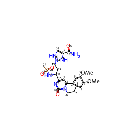 COc1cc2c(cc1OC)-c1cc(C(CCN3NC=C(C(N)=O)N3)NS(C)(=O)=O)nc(=O)n1CC2